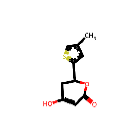 Cc1csc(C2CC(O)=CC(=O)O2)c1